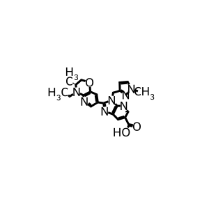 CCN1c2ncc(-c3nc4cc(C(=O)O)cnc4n3Cc3ccn(C)n3)cc2OC[C@H]1C